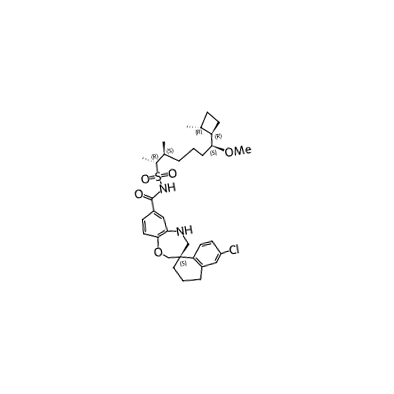 CO[C@@H](CCC[C@H](C)[C@@H](C)S(=O)(=O)NC(=O)c1ccc2c(c1)NC[C@@]1(CCCc3cc(Cl)ccc31)CO2)[C@@H]1CC[C@H]1C